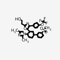 Cc1cn(-c2ccc(-c3cccc(S(C)(=O)=O)c3)cc2-c2oc(CCO)nc2-c2ccc(OC(F)(F)F)cc2)c(C)n1